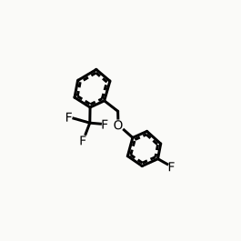 Fc1ccc(OCc2ccccc2C(F)(F)F)cc1